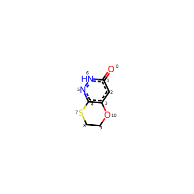 O=c1cc2c(n[nH]1)SCCO2